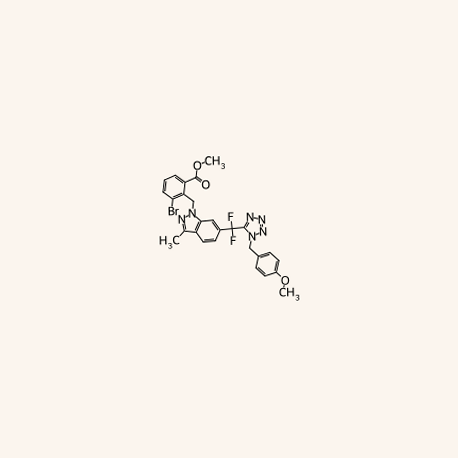 COC(=O)c1cccc(Br)c1Cn1nc(C)c2ccc(C(F)(F)c3nnnn3Cc3ccc(OC)cc3)cc21